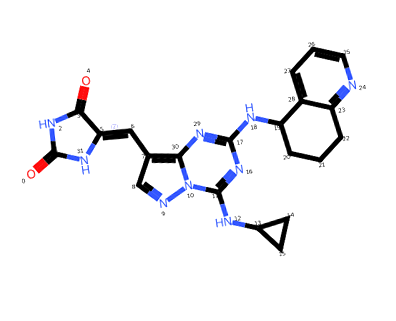 O=C1NC(=O)/C(=C/c2cnn3c(NC4CC4)nc(NC4CCCc5ncccc54)nc23)N1